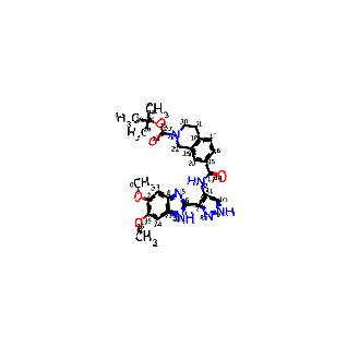 COc1cc2nc(-c3n[nH]cc3NC(=O)c3ccc4c(c3)CN(C(=O)OC(C)(C)C)CC4)[nH]c2cc1OC